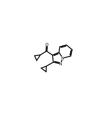 O=C(c1c(C2CC2)nn2ccccc12)C1CC1